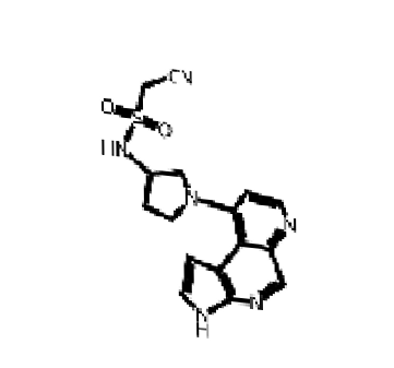 N#CCS(=O)(=O)NC1CCN(c2ccnc3cnc4[nH]ccc4c23)C1